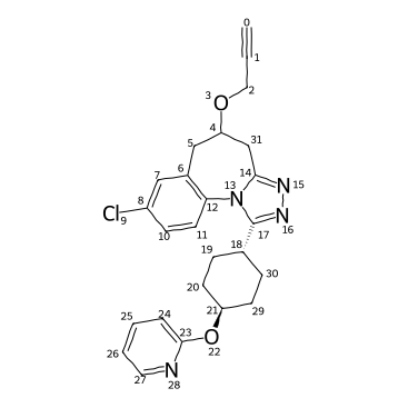 C#CCOC1Cc2cc(Cl)ccc2-n2c(nnc2[C@H]2CC[C@H](Oc3ccccn3)CC2)C1